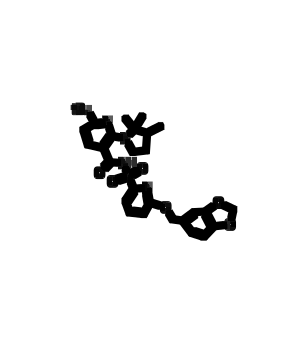 CC1CCN(c2nc(C(C)(C)C)ccc2C(=O)NS(=O)(=O)c2cccc(OCc3ccc4c(c3)OCO4)n2)C1(C)C